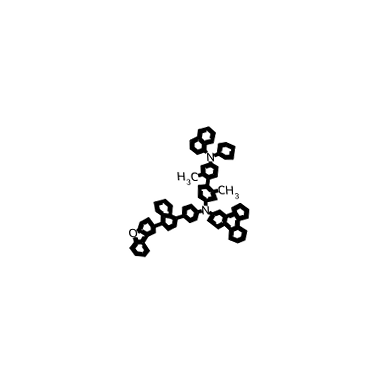 Cc1cc(N(c2ccc(-c3ccc(-c4ccc5oc6ccccc6c5c4)c4ccccc34)cc2)c2ccc3c4ccccc4c4ccccc4c3c2)ccc1-c1ccc(N(c2ccccc2)c2cccc3ccccc23)cc1C